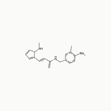 CNC1C=CC=C1/C=C/C(=O)NCc1ccc(N)c(C)c1